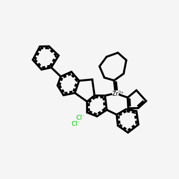 C1=CC[C]([Zr+2](=[C]2CCCCCC2)[c]2c(-c3ccccc3)ccc3c2Cc2cc(-c4ccccc4)ccc2-3)=C1.[Cl-].[Cl-]